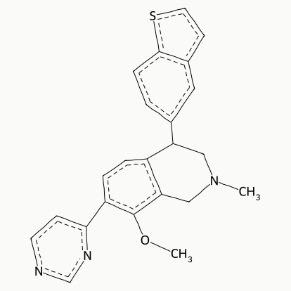 COc1c(-c2ccncn2)ccc2c1CN(C)CC2c1ccc2sccc2c1